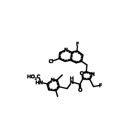 Cc1cc(NC(=O)O)nc(C)c1CNC(=O)c1oc(Cc2cc(F)c3ncc(Cl)cc3c2)nc1CF